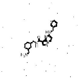 NCC1CCCC(CNC(=O)c2cnn3ccc(NCc4cccnc4)nc23)C1